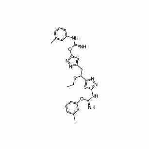 CCSC(Cc1nnc(OC(=N)Nc2cccc(C)c2)s1)c1nnc(NC(=N)Oc2cccc(C)c2)s1